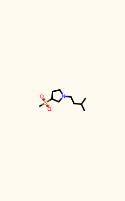 CC(C)CCN1CCC(S(C)(=O)=O)C1